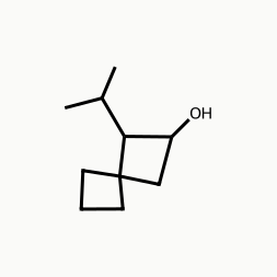 CC(C)C1C(O)CC12CCC2